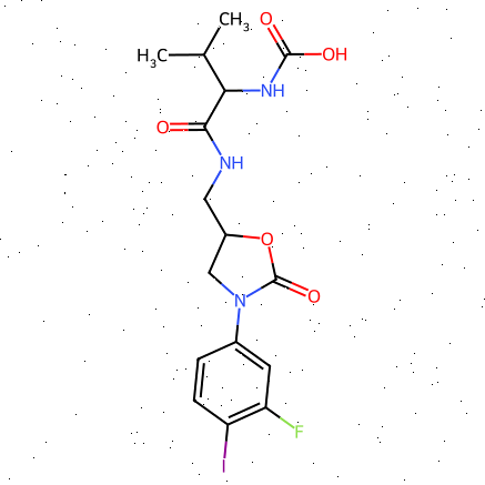 CC(C)C(NC(=O)O)C(=O)NCC1CN(c2ccc(I)c(F)c2)C(=O)O1